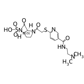 CN(C)CCNC(=O)c1ccc(SCC(=O)N2CC[C@@H]3[C@H]2C(=O)N3S(=O)(=O)O)nc1